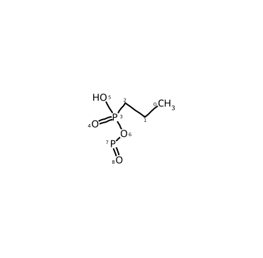 CCCP(=O)(O)OP=O